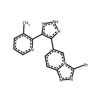 Cc1cccnc1-c1n[nH]nc1-c1ccc2nnc(C(C)C)n2c1